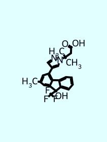 Cc1cc(-c2cnn(C(C)(C)CC(=O)O)c2)c2c(c1)C(O)(C(F)(F)F)c1ccccc1-2